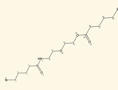 O=C(CCCCBr)NCCOCCOC(=O)CCCCBr